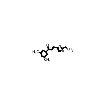 CCc1nc(/C=C/C(=O)c2cc(C)cc(C)c2)c[nH]1